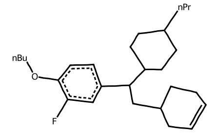 CCCCOc1ccc(C(CC2CC=CCC2)C2CCC(CCC)CC2)cc1F